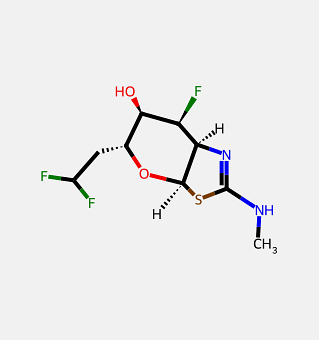 CNC1=N[C@@H]2[C@H](F)[C@H](O)[C@@H](CC(F)F)O[C@@H]2S1